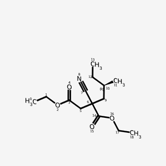 CCOC(=O)CC(C#N)(C[C@H](C)CC)C(=O)OCC